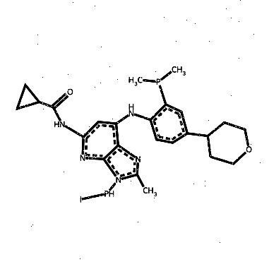 Cc1nc2c(Nc3ccc(C4CCOCC4)cc3P(C)C)cc(NC(=O)C3CC3)nc2n1PI